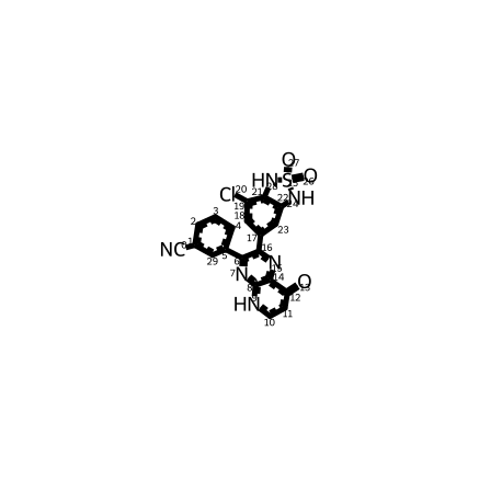 N#Cc1cccc(-c2nc3[nH]ccc(=O)c3nc2-c2cc(Cl)c3c(c2)NS(=O)(=O)N3)c1